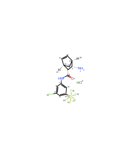 Cl.N[C@@H]1[C@H](C(=O)Nc2cc(F)cc(S(F)(F)(F)(F)F)c2)[C@H]2C=C[C@@H]1C2